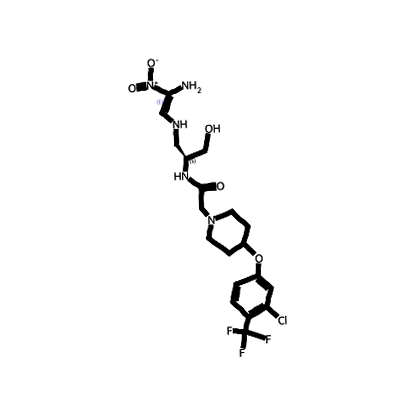 N/C(=C\NC[C@@H](CO)NC(=O)CN1CCC(Oc2ccc(C(F)(F)F)c(Cl)c2)CC1)[N+](=O)[O-]